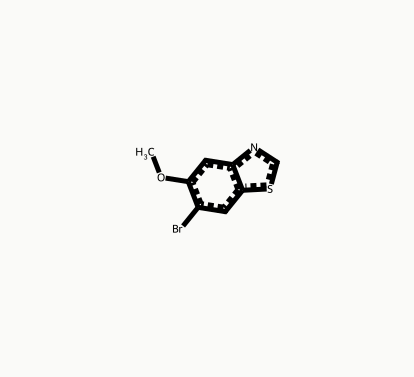 COc1cc2ncsc2cc1Br